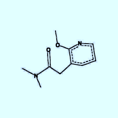 COc1ncccc1CC(=O)N(C)C